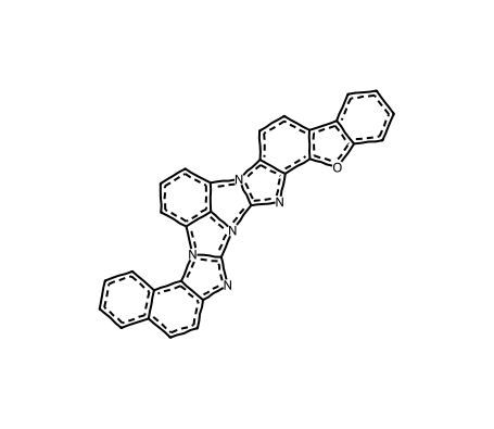 c1ccc2c(c1)ccc1nc3n(c4cccc5c4n3c3nc4c6oc7ccccc7c6ccc4n53)c12